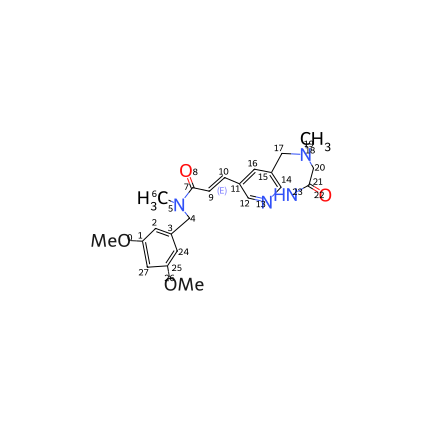 COc1cc(CN(C)C(=O)/C=C/c2cnc3c(c2)CN(C)CC(=O)N3)cc(OC)c1